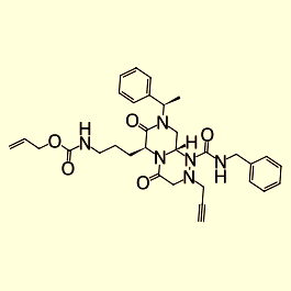 C#CCN1CC(=O)N2[C@@H](CCCNC(=O)OCC=C)C(=O)N([C@H](C)c3ccccc3)C[C@@H]2N1C(=O)NCc1ccccc1